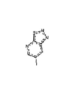 Cc1cnc2snnc2c1